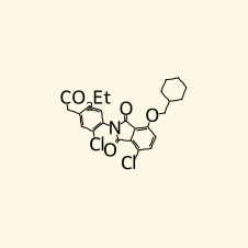 CCOC(=O)Cc1ccc(N2C(=O)c3c(Cl)ccc(OCC4CCCCC4)c3C2=O)c(Cl)c1